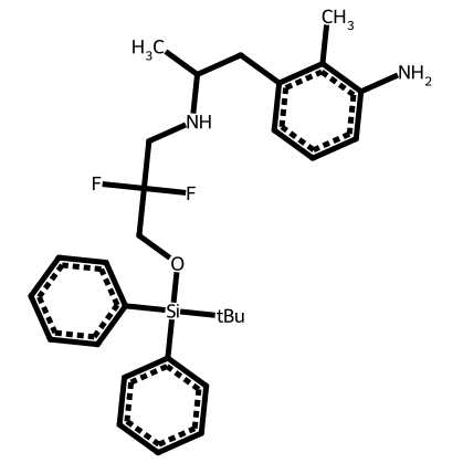 Cc1c(N)cccc1CC(C)NCC(F)(F)CO[Si](c1ccccc1)(c1ccccc1)C(C)(C)C